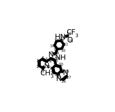 Cc1cccc(-c2nc(C3CCC(NC(=O)C(F)(F)F)CC3)[nH]c2-c2ccc3nccnc3c2)n1